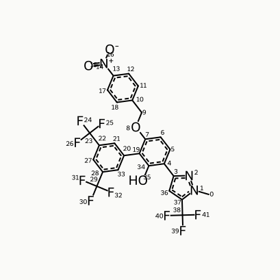 Cn1nc(-c2ccc(OCc3ccc([N+](=O)[O-])cc3)c(-c3cc(C(F)(F)F)cc(C(F)(F)F)c3)c2O)cc1C(F)(F)F